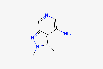 Cc1c2c(N)cncc2nn1C